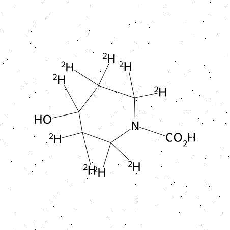 [2H]C1([2H])N(C(=O)O)C([2H])([2H])C([2H])([2H])C([2H])(O)C1([2H])[2H]